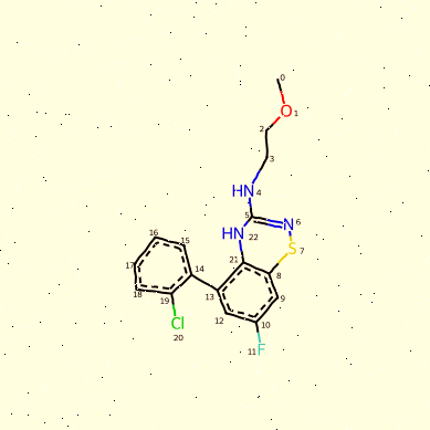 COCCNC1=NSc2cc(F)cc(-c3ccccc3Cl)c2N1